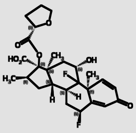 C[C@@H]1C[C@H]2[C@@H]3C[C@H](F)C4=CC(=O)C=C[C@]4(C)C3(F)[C@@H](O)C[C@]2(C)[C@@]1(OC(=O)[C@@H]1CCCO1)C(=O)O